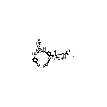 N=C(N)NCCC[C@H](NC(=O)c1ccc2cc1OCCCCCCOc1ccc(cc1)CNc1nc(nc(OCC(F)(F)F)n1)N2)C(=O)O